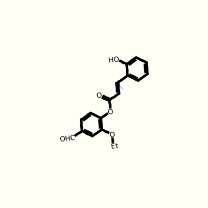 CCOc1cc(C=O)ccc1OC(=O)/C=C/c1ccccc1O